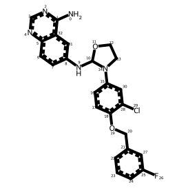 Nc1ncnc2ccc(NC3OCCN3c3ccc(OCc4cccc(F)c4)c(Cl)c3)cc12